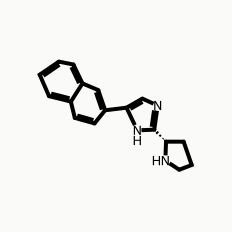 c1ccc2cc(-c3cnc([C@@H]4CCCN4)[nH]3)ccc2c1